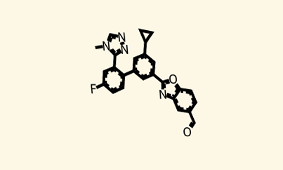 Cn1cnnc1-c1cc(F)ccc1-c1cc(-c2nc3cc(C=O)ccc3o2)cc(C2CC2)c1